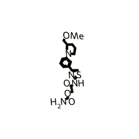 COCC1CCCN(c2cccc(-c3csc(NC(=O)COC(N)=O)n3)c2)C1